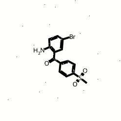 CS(=O)(=O)c1ccc(C(=O)c2cc(Br)ccc2N)cc1